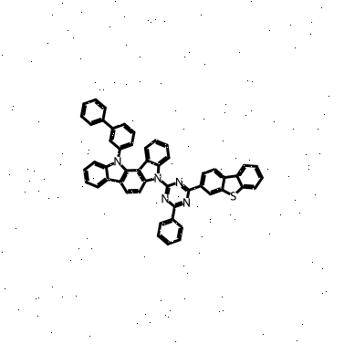 c1ccc(-c2cccc(-n3c4ccccc4c4ccc5c(c6ccccc6n5-c5nc(-c6ccccc6)nc(-c6ccc7c(c6)sc6ccccc67)n5)c43)c2)cc1